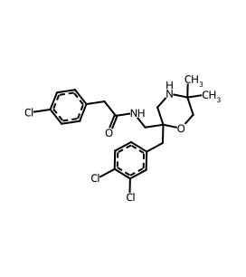 CC1(C)COC(CNC(=O)Cc2ccc(Cl)cc2)(Cc2ccc(Cl)c(Cl)c2)CN1